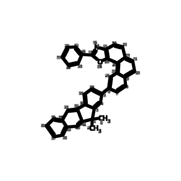 CC1(C)c2cc(-c3ccc4ccc5ccc6nc(-c7ccccc7)oc6c5c4c3)ccc2-c2cc3ccccc3cc21